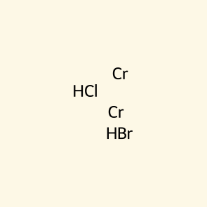 Br.Cl.[Cr].[Cr]